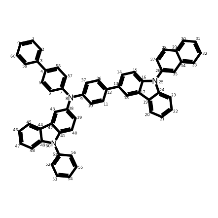 c1ccc(-c2ccc(N(c3ccc(-c4ccc5c(c4)c4ccccc4n5-c4ccc5ccccc5c4)cc3)c3ccc4c(c3)c3ccccc3n4-c3ccccc3)cc2)cc1